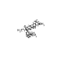 C=CCn1c(=O)c2cnc(Nc3ccc4c(c3)CN(C)CC43CC3)nc2n1-c1ccc(=O)n(C(C)(C)C)c1